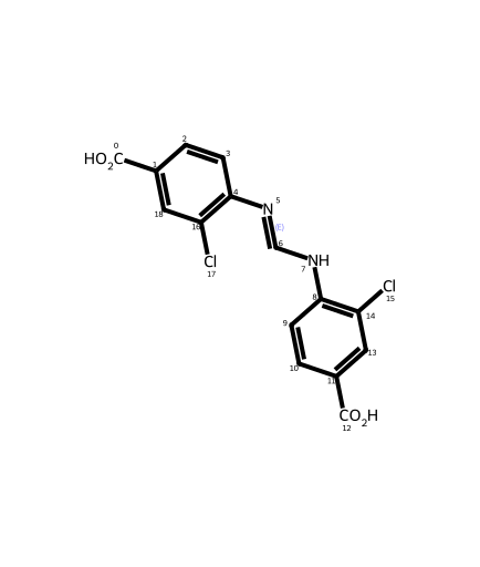 O=C(O)c1ccc(/N=C/Nc2ccc(C(=O)O)cc2Cl)c(Cl)c1